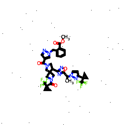 COC(=O)c1ccccc1Cn1cc(C(=O)N2CC(c3noc(C(C)n4ccc(C5(C(F)(F)F)CC5)n4)n3)C3(C2)CN(C(=O)C2(C(F)(F)F)CC2)C3)cn1